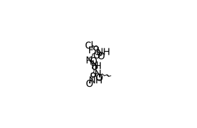 C/C=C/CCC(=O)Nc1cc(NC=O)ccc1-c1ccnc(CC(=O)N(C)CCCC2OC(=O)Nc3ccc(Cl)c(F)c32)c1